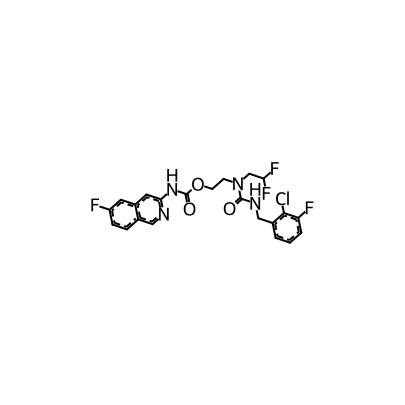 O=C(Nc1cc2cc(F)ccc2cn1)OCCN(CC(F)F)C(=O)NCc1cccc(F)c1Cl